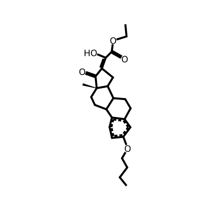 CCCCOc1ccc2c(c1)CCC1C2CC[C@]2(C)C(=O)/C(=C(\O)C(=O)OCC)CC12